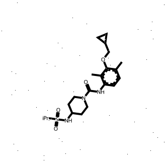 Cc1ccc(NC(=O)N2CCC(NS(=O)(=O)C(C)C)CC2)c(C)c1OCC1CC1